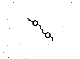 CCc1ccc(CCCCc2ccc(C#N)cc2)cc1